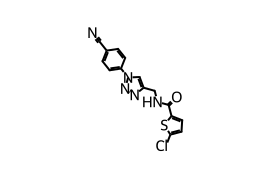 N#Cc1ccc(-n2cc(CNC(=O)c3ccc(Cl)s3)nn2)cc1